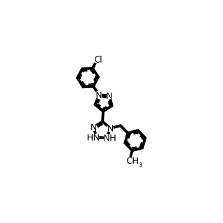 Cc1cccc(CN2NNN=C2c2cnn(-c3cccc(Cl)c3)c2)c1